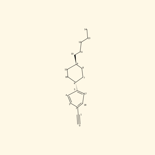 C#Cc1ccc([C@H]2CC[C@H](CCCCC)CC2)cc1